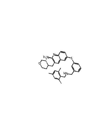 Cc1cc(C)c(CNCc2cccc(Sc3ccc4nc(N)c(CC5CCOCC5)cc4c3)c2)c(C)c1